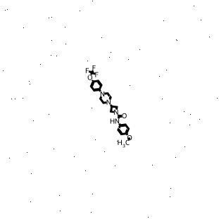 COc1ccc(NC(=O)N2CC(N3CCN(c4ccc(OC(F)(F)F)cc4)CC3)C2)cc1